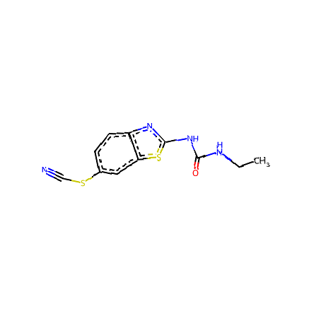 CCNC(=O)Nc1nc2ccc(SC#N)cc2s1